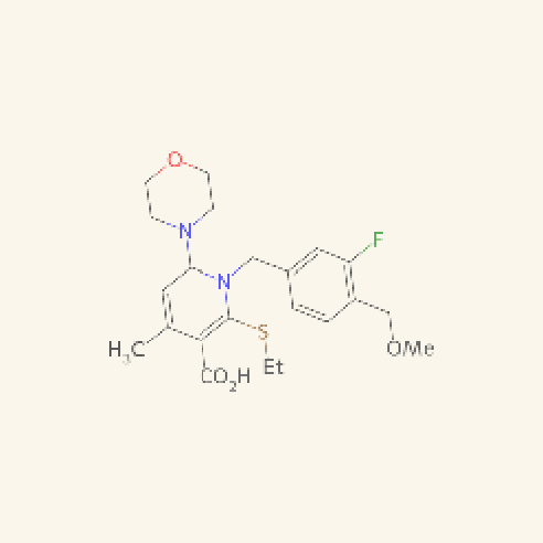 CCSC1=C(C(=O)O)C(C)=CC(N2CCOCC2)N1Cc1ccc(COC)c(F)c1